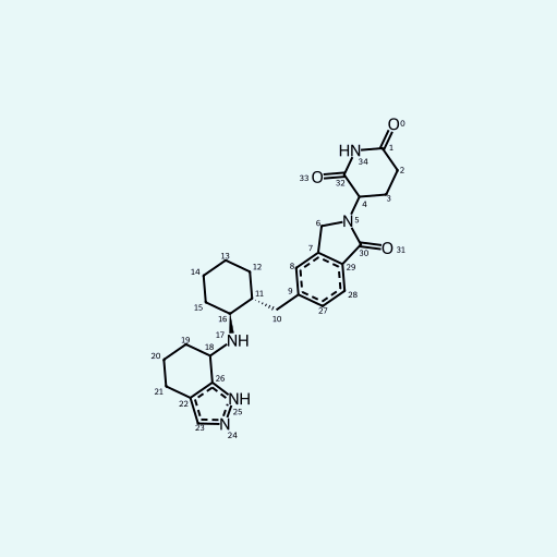 O=C1CCC(N2Cc3cc(C[C@H]4CCCC[C@@H]4NC4CCCc5cn[nH]c54)ccc3C2=O)C(=O)N1